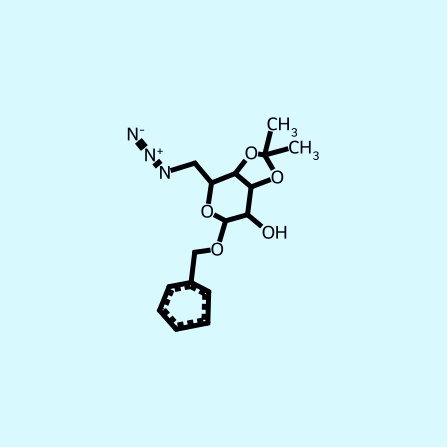 CC1(C)OC2C(CN=[N+]=[N-])OC(OCc3ccccc3)C(O)C2O1